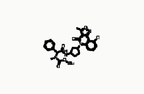 Cc1onc2c1c(=O)n(C1CCC(NC(=O)C(c3ccccc3)N(C)C(=O)OC(C)(C)C)C1)c1cccc(Cl)c21